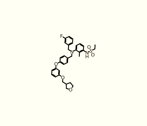 CCS(=O)(=O)Nc1cccc(N(Cc2ccc(Oc3cccc(OCC4CCOC4)c3)cc2)Cc2cccc(F)c2)c1C